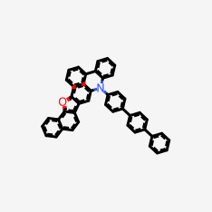 c1ccc(-c2ccc(-c3ccc(N(c4ccc5oc6c7ccccc7ccc6c5c4)c4ccccc4-c4ccccc4)cc3)cc2)cc1